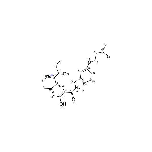 CCC(=O)/C(=N/C)c1cc(C(=O)N2Cc3ccc(OCCN(C)C)cc3C2)c(O)cc1C